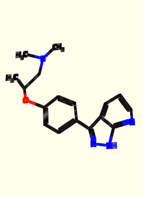 CC(CN(C)C)Oc1ccc(-c2n[nH]c3ncccc23)cc1